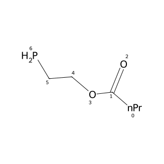 CCCC(=O)OCCP